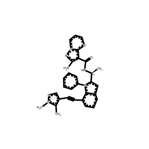 Cc1c(C#Cc2cccc3cc([C@H](C)NC(=O)c4c(N)nn5cccnc45)n(-c4ccccc4)c23)cnn1C